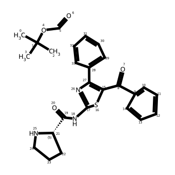 CC(C)(C)OC=O.O=C(c1ccccc1)c1sc(NC(=O)[C@@H]2CCCN2)nc1-c1ccccc1